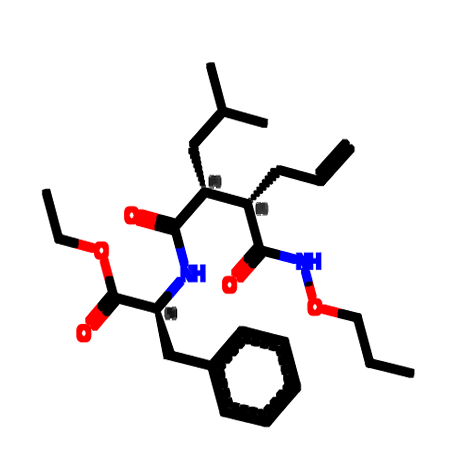 C=CC[C@H](C(=O)NOCCC)[C@@H](CC(C)C)C(=O)N[C@@H](Cc1ccccc1)C(=O)OCC